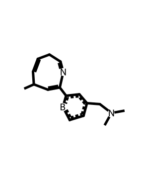 CC1C=CC/C=N\C(c2bccc(CN(C)C)c2)=C/1